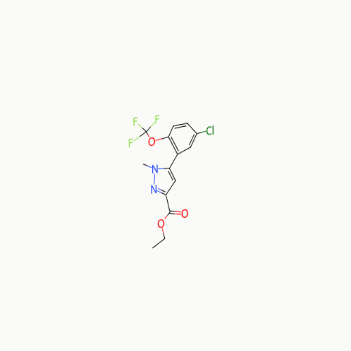 CCOC(=O)c1cc(-c2cc(Cl)ccc2OC(F)(F)F)n(C)n1